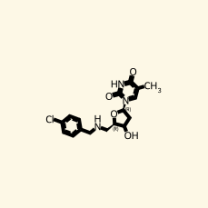 Cc1cn([C@H]2CC(O)[C@@H](CNCc3ccc(Cl)cc3)O2)c(=O)[nH]c1=O